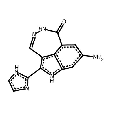 Nc1cc2c3c(c(-c4ncc[nH]4)[nH]c3c1)C=NNC2=O